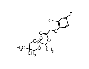 CC(OC(=O)COc1ccc(F)cc1Cl)P1(=O)OCC(C)(C)CO1